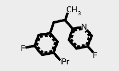 CC(C)c1cc(F)cc(CC(C)c2ccc(F)cn2)c1